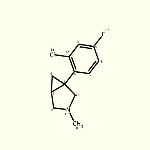 CN1CC2CC2(c2ccc(F)cc2Cl)C1